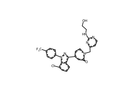 O=c1cc(-c2nn(-c3ccc(C(F)(F)F)cc3)c3c(Cl)cccc23)ccn1Cc1ccnc(NCCO)n1